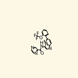 O=C(Nc1cnc2ccc(-c3ccccc3OC(F)(F)F)nn12)c1cnccn1